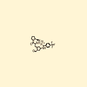 CC(NC1CC(C=O)N(CC(N)C(=O)N2CCCC2C#N)C1)c1ccc(C(F)(F)F)cc1